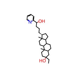 CC[C@]1(O)CCC2(C)C(CCC3C2CCC2(C)C3CC[C@@H]2CCCC(O)c2ccccn2)C1